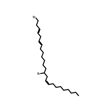 CCCCCCCC/C=C\CC(Br)CCCCCCC=CCC=CCCBr